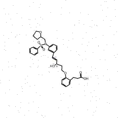 O=C(O)CCc1ccccc1OCC[C@@H](O)/C=C/c1cccc(N(CC2CCCO2)S(=O)(=O)c2ccccc2)c1